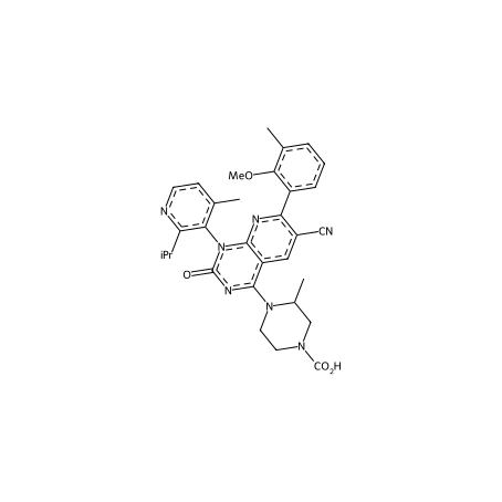 COc1c(C)cccc1-c1nc2c(cc1C#N)c(N1CCN(C(=O)O)CC1C)nc(=O)n2-c1c(C)ccnc1C(C)C